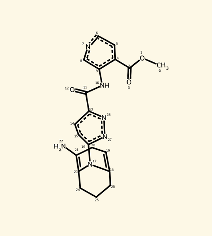 COC(=O)c1ccncc1NC(=O)c1ccc(N2C3=CCC(N)=C2CCC3)nn1